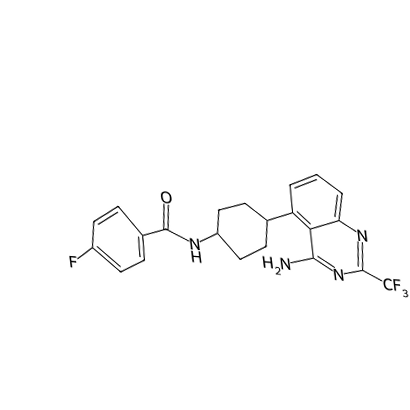 Nc1nc(C(F)(F)F)nc2cccc(C3CCC(NC(=O)c4ccc(F)cc4)CC3)c12